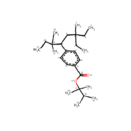 CCC(C)(CC)CC(c1ccc(C(=O)OC(C)(C)C(C)C)cc1)C(C)(C)CC